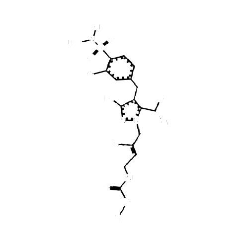 Cc1nn(C/C(F)=C/CNC(=O)OC(C)(C)C)c([C@@H](C)O)c1Cc1ccc(S(=O)(=O)N(C)C)c(Cl)c1